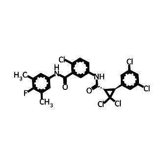 Cc1cc(NC(=O)c2cc(NC(=O)[C@@H]3[C@@H](c4cc(Cl)cc(Cl)c4)C3(Cl)Cl)ccc2Cl)cc(C)c1F